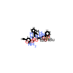 C#CCCC(NC(=O)[C@@H]1C2[C@H](CN1C(=O)[C@@H](NC(=O)NC1(CS(=O)(=O)C(C)(C)C)CCCCC1)C(C)(C)C)C21CCCC1)C(=O)C(N)=O